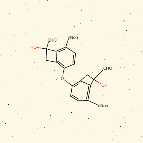 CCCCCCCCCc1ccc(Oc2ccc(CCCCCCCCC)c3c2CC3(O)C=O)c2c1C(O)(C=O)C2